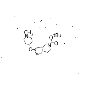 CN1CCC(Oc2ccc3c(c2)CN(C(=O)OC(C)(C)C)CC3)CC1